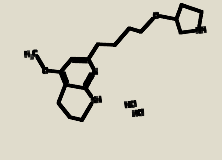 COc1cc(CCCCOC2CCNC2)nc2c1CCCN2.Cl.Cl